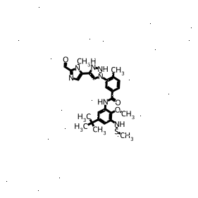 COc1c(NSC)cc(C(C)(C)C)cc1NC(=O)c1ccc(C)c(N2C=C(c3cnc(C=O)n3C)NN2)c1